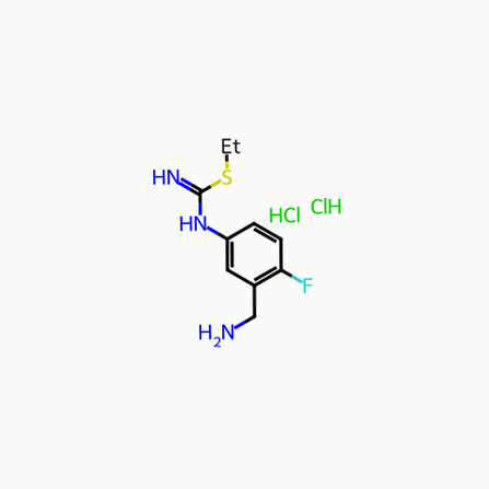 CCSC(=N)Nc1ccc(F)c(CN)c1.Cl.Cl